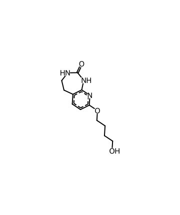 O=C1NCCc2ccc(OCCCCO)nc2N1